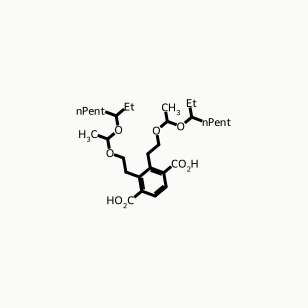 CCCCCC(CC)OC(C)OCCc1c(C(=O)O)ccc(C(=O)O)c1CCOC(C)OC(CC)CCCCC